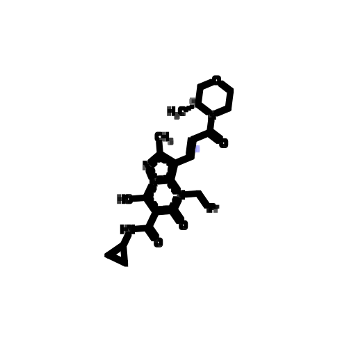 Cc1nn2c(O)c(C(=O)NC3CC3)c(=O)n(CC(C)C)c2c1/C=C/C(=O)N1CCOC[C@H]1C